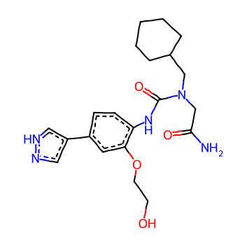 NC(=O)CN(CC1CCCCC1)C(=O)Nc1ccc(-c2cn[nH]c2)cc1OCCO